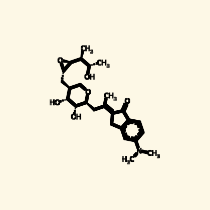 C/C(C[C@@H]1OC[C@H](C[C@@H]2O[C@H]2[C@@H](C)[C@H](C)O)[C@@H](O)[C@H]1O)=C1/Cc2cc(N(C)C)ccc2C1=O